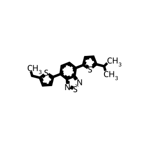 CCc1ccc(-c2ccc(-c3ccc(C(C)C)s3)c3nsnc23)s1